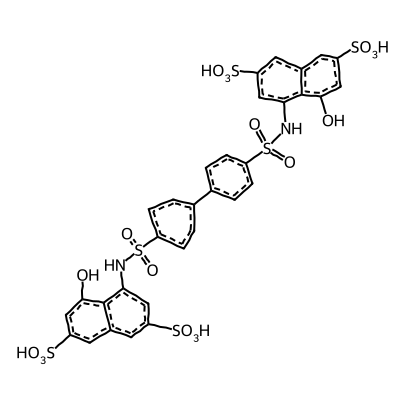 O=S(=O)(O)c1cc(O)c2c(NS(=O)(=O)c3ccc(-c4ccc(S(=O)(=O)Nc5cc(S(=O)(=O)O)cc6cc(S(=O)(=O)O)cc(O)c56)cc4)cc3)cc(S(=O)(=O)O)cc2c1